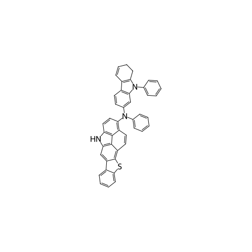 C1=Cc2c(n(-c3ccccc3)c3cc(N(c4ccccc4)c4ccc5[nH]c6cc7c8ccccc8sc7c7ccc4c5c67)ccc23)CC1